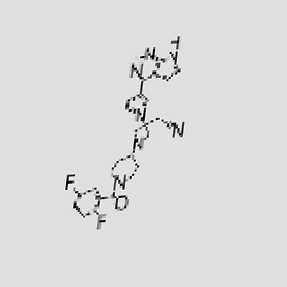 N#CCC1(n2ccc(-c3ncnc4[nH]ccc34)c2)CN(C2CCN(C(=O)c3cc(F)ccc3F)CC2)C1